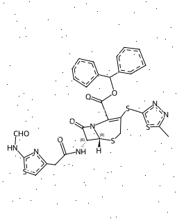 Cc1nnc(SC2=C(C(=O)OC(c3ccccc3)c3ccccc3)N3C(=O)[C@@H](NC(=O)Cc4csc(NC=O)n4)[C@H]3SC2)s1